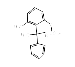 Cc1cccc(OC(=O)O)c1C(C)(C)c1ccccc1